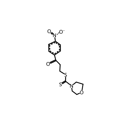 O=C(CCSC(=S)N1CCOCC1)c1ccc([N+](=O)[O-])cc1